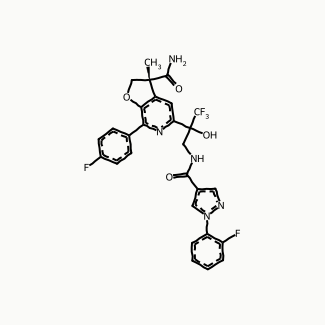 C[C@]1(C(N)=O)COc2c1cc(C(O)(CNC(=O)c1cnn(-c3ccccc3F)c1)C(F)(F)F)nc2-c1ccc(F)cc1